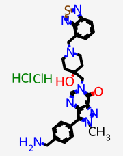 Cl.Cl.Cn1nc2c(=O)n(CC3(O)CCN(Cc4cccc5nsnc45)CC3)cnc2c1-c1ccc(CN)cc1